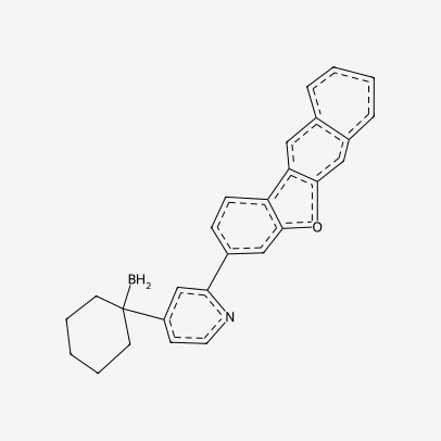 BC1(c2ccnc(-c3ccc4c(c3)oc3cc5ccccc5cc34)c2)CCCCC1